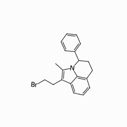 Cc1c(CCBr)c2cccc3c2n1C(c1ccccc1)CC3